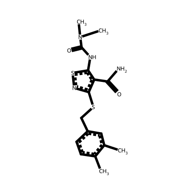 Cc1ccc(CSc2nsc(NC(=O)N(C)C)c2C(N)=O)cc1C